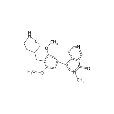 COc1cc(-c2cn(C)c(=O)c3cnccc23)cc(OC)c1CC1CCNCC1